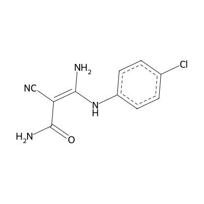 N#CC(C(N)=O)=C(N)Nc1ccc(Cl)cc1